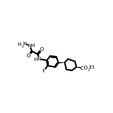 CCOC(=O)[C@H]1CC[C@@H](c2ccc(NC(=O)C(=O)NN)c(F)c2)CC1